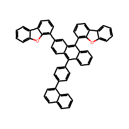 c1ccc2c(-c3ccc(-c4c5ccccc5c(-c5cccc6c5oc5ccccc56)c5cc(-c6cccc7c6oc6ccccc67)ccc45)cc3)cccc2c1